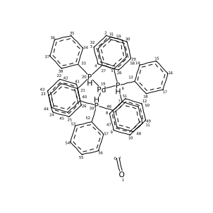 [C]=O.c1ccc([PH](c2ccccc2)(c2ccccc2)[Pd]([PH](c2ccccc2)(c2ccccc2)c2ccccc2)[PH](c2ccccc2)(c2ccccc2)c2ccccc2)cc1